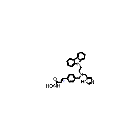 O=C(/C=C/c1ccc(CN(CCn2c3ccccc3c3ccccc32)Cc2cnc[nH]2)cc1)NO